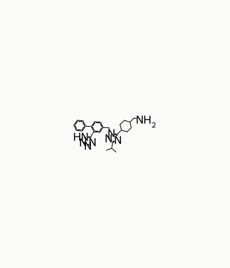 CC(C)c1nc(C2CCC(CN)CC2)n(Cc2ccc(-c3ccccc3)c(-c3nnn[nH]3)c2)n1